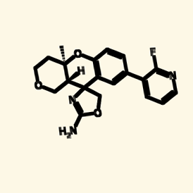 C[C@@]12CCOC[C@H]1C1(COC(N)=N1)c1cc(-c3cccnc3F)ccc1O2